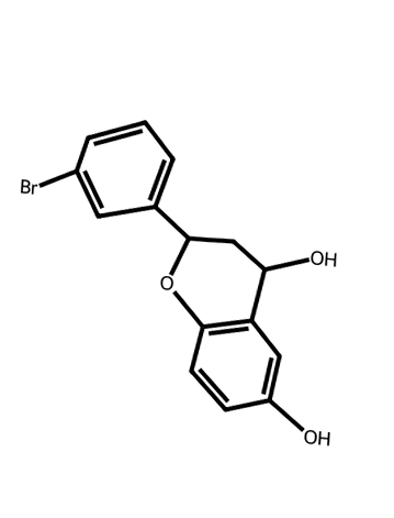 Oc1ccc2c(c1)C(O)CC(c1cccc(Br)c1)O2